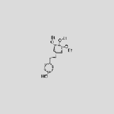 CCOc1cc(C=Cc2ccc(O)cc2)cc(OCC)c1OCC